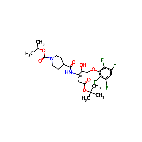 CC(C)OC(=O)N1CCC(C(=O)N[C@@H](CC(=O)OC(C)(C)C)C(O)COc2c(F)c(F)cc(F)c2F)CC1